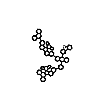 c1cc(-c2ccc3c4c(ccc3c2)-c2c(c3ccccc3c3ccccc23)C42c3ccccc3-c3ccccc32)cc(-c2c3ccccc3c(-c3ccc4oc5ccccc5c4c3)c3cc(-c4ccc5c6c(ccc5c4)-c4ccc5cc(-c7cc8ccccc8c8ccccc78)ccc5c4C64c5ccccc5-c5ccccc54)ccc23)c1